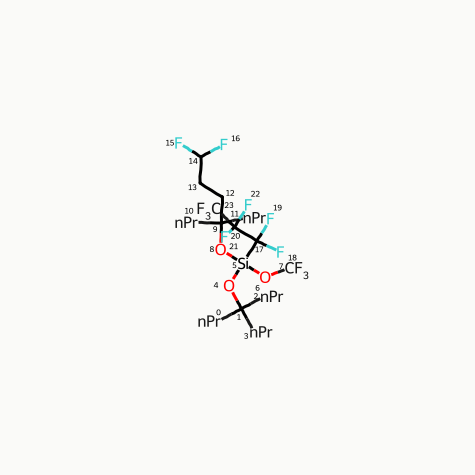 CCCC(CCC)(CCC)O[Si](OC(F)(F)F)(OC(CCC)(CCC)CCC(F)F)C(F)(F)C(F)(F)C(F)(F)F